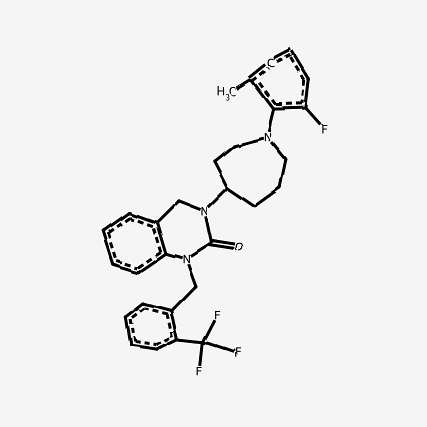 Cc1cccc(F)c1N1CCCC(N2Cc3ccccc3N(Cc3ccccc3C(F)(F)F)C2=O)CC1